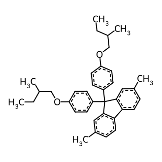 CCC(C)COc1ccc(C2(c3ccc(OCC(C)CC)cc3)c3cc(C)ccc3-c3ccc(C)cc32)cc1